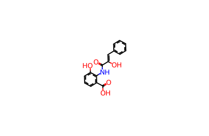 O=C(Nc1c(O)cccc1C(=O)O)C(O)=Cc1ccccc1